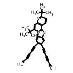 C#CC#CC#Cc1cc2nc3c4ccc(C(C)(C)C)nc4cc(C(C)(C)C)n3c2cc1C#CC#CC#C